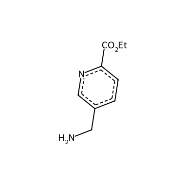 CCOC(=O)c1ccc(CN)cn1